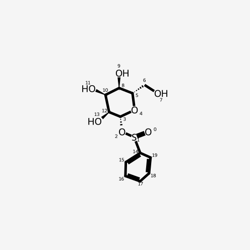 O=S(O[C@H]1O[C@@H](CO)[C@H](O)[C@H](O)[C@@H]1O)c1ccccc1